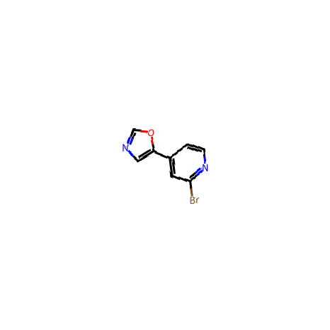 Brc1cc(-c2cnco2)ccn1